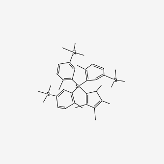 CC1=C(C)C(C)C([Si](c2cc([Si](C)(C)C)ccc2C)(c2cc([Si](C)(C)C)ccc2C)c2cc([Si](C)(C)C)ccc2C)=C1C